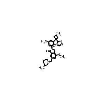 CSc1cc(CN2CCC[C@H](C)C2)cc2c1CN(c1cc(C3(c4nncn4C)CC(C)C3)cc(N)n1)C2=O